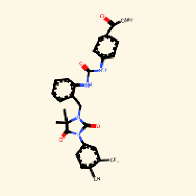 COC(=O)c1ccc(NC(=O)Nc2ccccc2CN2C(=O)N(c3ccc(C#N)c(C(F)(F)F)c3)C(=O)C2(C)C)cc1